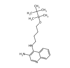 CC(C)(C)[Si](C)(C)OCCCCNc1c(N)cnc2ccccc12